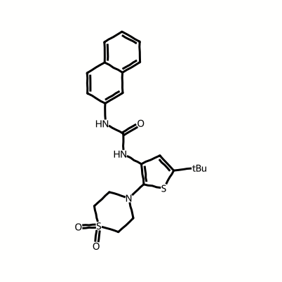 CC(C)(C)c1cc(NC(=O)Nc2ccc3ccccc3c2)c(N2CCS(=O)(=O)CC2)s1